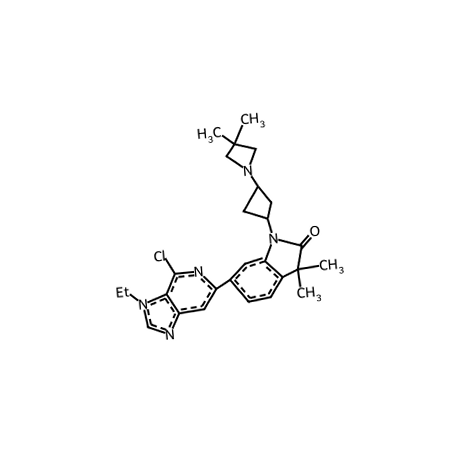 CCn1cnc2cc(-c3ccc4c(c3)N(C3CC(N5CC(C)(C)C5)C3)C(=O)C4(C)C)nc(Cl)c21